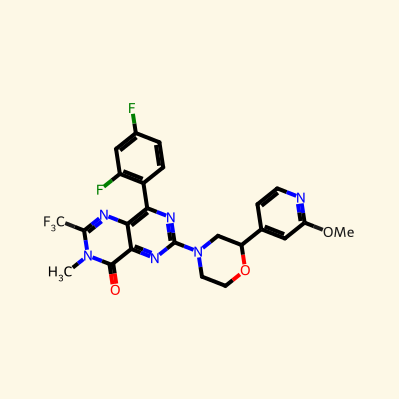 COc1cc(C2CN(c3nc(-c4ccc(F)cc4F)c4nc(C(F)(F)F)n(C)c(=O)c4n3)CCO2)ccn1